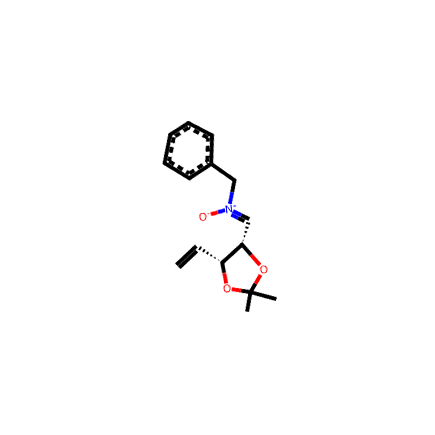 C=C[C@H]1OC(C)(C)O[C@H]1C=[N+]([O-])Cc1ccccc1